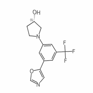 O[C@H]1CCN(c2cc(-c3cnco3)cc(C(F)(F)F)c2)C1